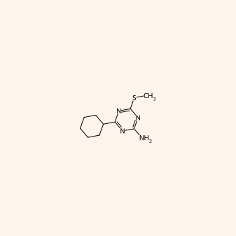 CSc1nc(N)nc(C2CCCCC2)n1